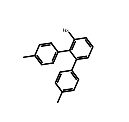 Cc1ccc(-c2cccc(S)c2-c2ccc(C)cc2)cc1